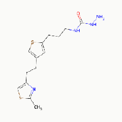 Cc1nc(CCc2csc(CCCNC(=O)NN)c2)cs1